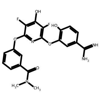 CN(C)C(=O)c1cccc(Oc2nc(Oc3cc(C(=N)N)ccc3O)c(F)c(O)c2F)c1